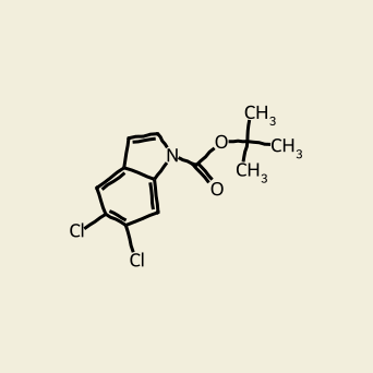 CC(C)(C)OC(=O)n1ccc2cc(Cl)c(Cl)cc21